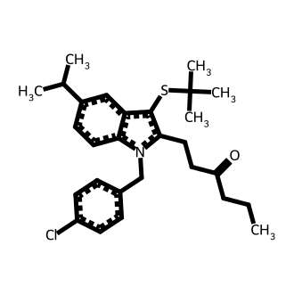 CCCC(=O)CCc1c(SC(C)(C)C)c2cc(C(C)C)ccc2n1Cc1ccc(Cl)cc1